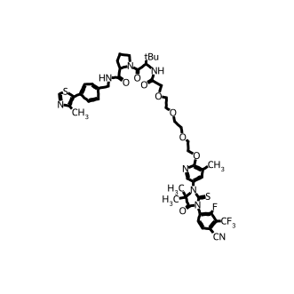 Cc1cc(N2C(=S)N(c3ccc(C#N)c(C(F)(F)F)c3F)C(=O)C2(C)C)cnc1OCCOCCOCCOCC(=O)NC(C(=O)N1CCCC1C(=O)NCc1ccc(-c2scnc2C)cc1)C(C)(C)C